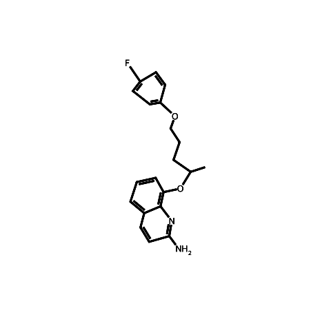 CC(CCCOc1ccc(F)cc1)Oc1cccc2ccc(N)nc12